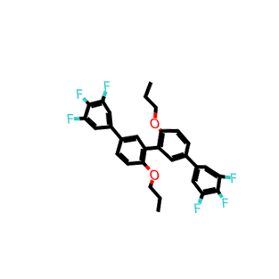 CCCOc1ccc(-c2cc(F)c(F)c(F)c2)cc1-c1cc(-c2cc(F)c(F)c(F)c2)ccc1OCCC